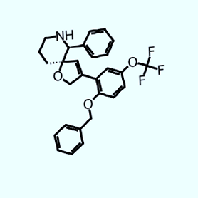 FC(F)(F)Oc1ccc(OCc2ccccc2)c(C2=C[C@@]3(CCCN[C@H]3c3ccccc3)OC2)c1